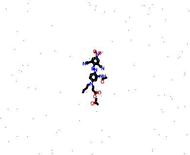 CCCCN(CCC(=O)OCC(C)=O)c1ccc(N=Nc2c(C#N)cc([N+](=O)[O-])cc2C#N)c(NC(C)=O)c1